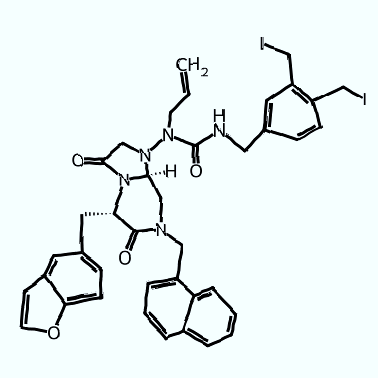 C=CCN(C(=O)NCc1ccc(CI)c(CI)c1)N1CC(=O)N2[C@@H](Cc3ccc4occc4c3)C(=O)N(Cc3cccc4ccccc34)C[C@@H]21